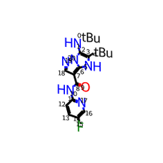 CC(C)(C)Nc1c(C(C)(C)C)[nH]c2c(C(=O)Nc3ccc(F)cn3)cnn12